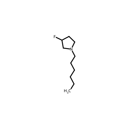 CCCCCCN1CCC(F)C1